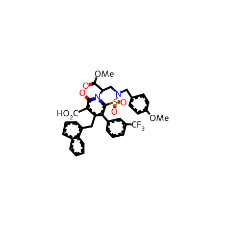 COC(=O)C1CN(Cc2ccc(OC)cc2)S(=O)(=O)c2c(-c3cccc(C(F)(F)F)c3)c(Cc3cccc4ccccc34)c(C(=O)O)c(=O)n21